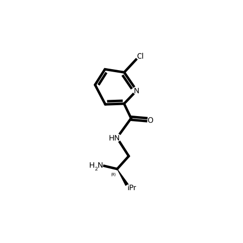 CC(C)[C@@H](N)CNC(=O)c1cccc(Cl)n1